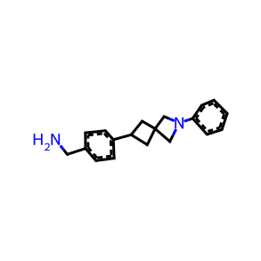 NCc1ccc(C2CC3(C2)CN(c2ccccc2)C3)cc1